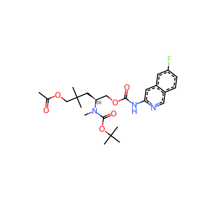 CC(=O)OCC(C)(C)C[C@@H](COC(=O)Nc1cc2cc(F)ccc2cn1)N(C)C(=O)OC(C)(C)C